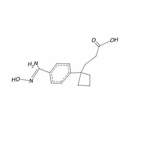 NC(=NO)c1ccc(C2(CCC(=O)O)CCC2)cc1